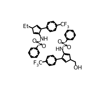 CCC1C=C(NS(=O)(=O)c2ccccc2)C(c2ccc(C(F)(F)F)cc2)=C1.O=S(=O)(NC1=CC(CO)C=C1c1ccc(C(F)(F)F)cc1)c1ccccc1